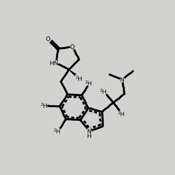 [2H]c1c(C[C@@]2([2H])COC(=O)N2)c([2H])c2c(C([2H])([2H])CN(C)C)c[nH]c2c1[2H]